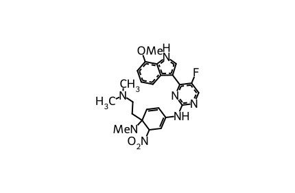 CNC1(CCN(C)C)C=CC(Nc2ncc(F)c(-c3c[nH]c4c(OC)cccc34)n2)=CC1[N+](=O)[O-]